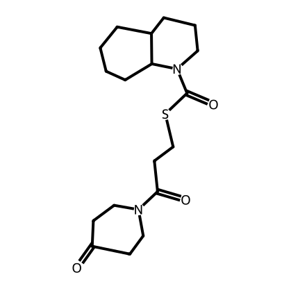 O=C1CCN(C(=O)CCSC(=O)N2CCCC3CCCCC32)CC1